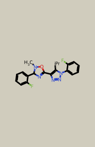 CC(C)c1c(C2=NC(c3ccccc3F)N(C)O2)nnn1-c1ccccc1F